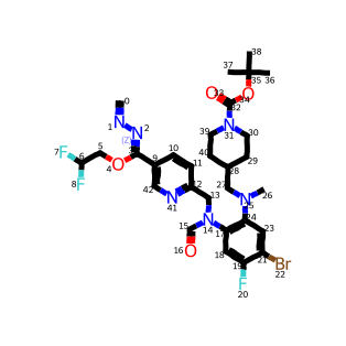 C=N/N=C(\OCC(F)F)c1ccc(CN(C=O)c2cc(F)c(Br)cc2N(C)CC2CCN(C(=O)OC(C)(C)C)CC2)nc1